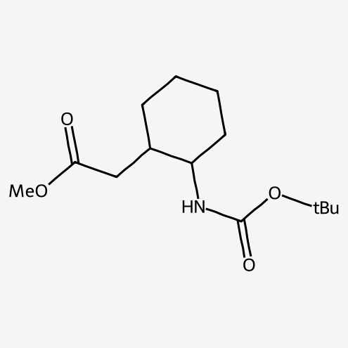 COC(=O)CC1CCCCC1NC(=O)OC(C)(C)C